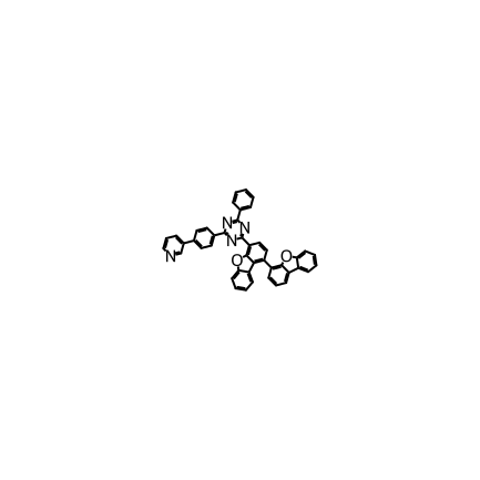 c1ccc(-c2nc(-c3ccc(-c4cccnc4)cc3)nc(-c3ccc(-c4cccc5c4oc4ccccc45)c4c3oc3ccccc34)n2)cc1